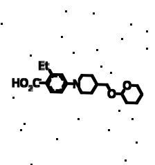 CCc1cc(N2CCC(COC3CCCCO3)CC2)ccc1C(=O)O